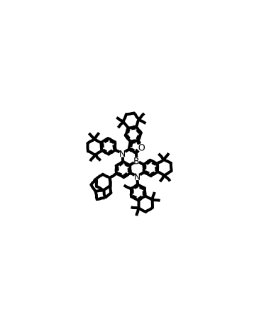 Cc1cc2c(cc1N1c3cc4c(cc3B3c5oc6cc7c(cc6c5N(c5ccc6c(c5)C(C)(C)CCC6(C)C)c5cc(C68CC9CC%10CC(C6)C%10(C9)C8)cc1c53)C(C)(C)CCC7(C)C)C(C)(C)CCC4(C)C)C(C)(C)CCC2(C)C